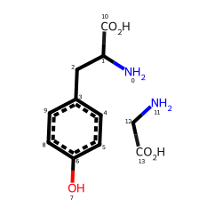 NC(Cc1ccc(O)cc1)C(=O)O.NCC(=O)O